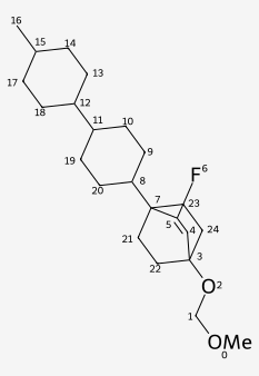 COCOC12C=C(F)C(C3CCC(C4CCC(C)CC4)CC3)(CC1)CC2